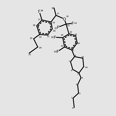 CCCCCC1CCC(c2ccc(C(F)(F)OC(C)c3ccc(CCC)cc3F)c(F)c2F)CC1